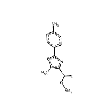 COC(=O)c1nc(-c2ccc(C)cc2)oc1C